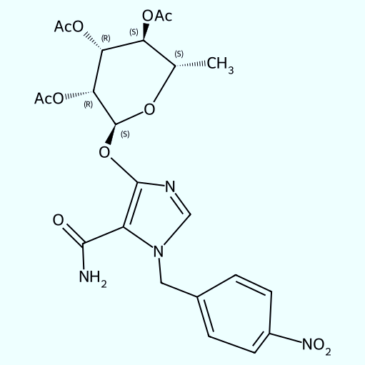 CC(=O)O[C@@H]1[C@@H](OC(C)=O)[C@H](C)O[C@@H](Oc2ncn(Cc3ccc([N+](=O)[O-])cc3)c2C(N)=O)[C@@H]1OC(C)=O